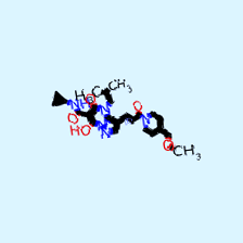 COCC1CCN(C(=O)/C=C/c2cnn3c(O)c(C(=O)NC4CC4)c(=O)n(CC(C)C)c23)CC1